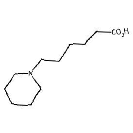 O=C(O)CCCCCN1CCCCC1